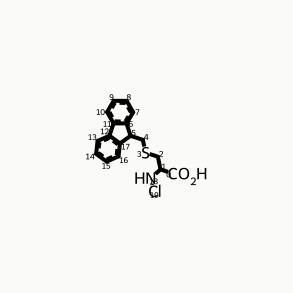 O=C(O)C(CSCC1c2ccccc2-c2ccccc21)NCl